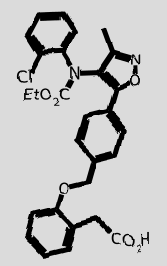 CCOC(=O)N(c1ccccc1Cl)c1c(C)noc1-c1ccc(COc2ccccc2CC(=O)O)cc1